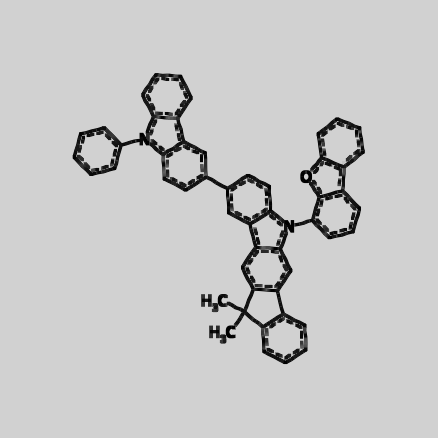 CC1(C)c2ccccc2-c2cc3c(cc21)c1cc(-c2ccc4c(c2)c2ccccc2n4-c2ccccc2)ccc1n3-c1cccc2c1oc1ccccc12